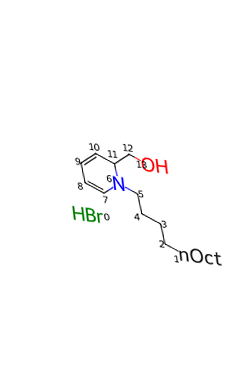 Br.CCCCCCCCCCCCN1C=CC=CC1CO